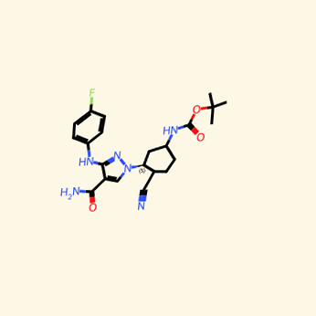 CC(C)(C)OC(=O)NC1CCC(C#N)[C@@H](n2cc(C(N)=O)c(Nc3ccc(F)cc3)n2)C1